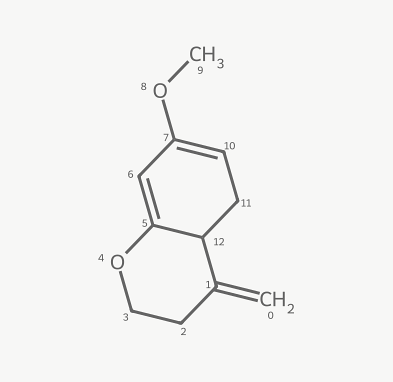 C=C1CCOC2=CC(OC)=CCC12